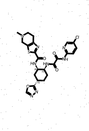 CN1CCc2nc(C(=O)N[C@@H]3C[C@@H](c4nnco4)CC[C@@H]3NC(=O)C(=O)Nc3ccc(Cl)cn3)sc2C1